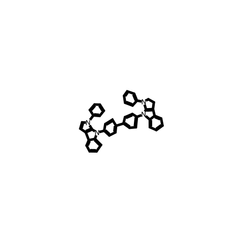 c1ccc(N2CCc3c2n(-c2ccc(-c4ccc(-n5c6ccccc6c6ccn(-c7ccccc7)c65)cc4)cc2)c2ccccc32)cc1